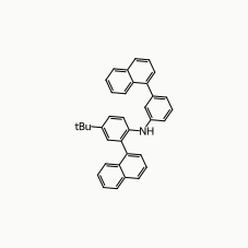 CC(C)(C)c1ccc(Nc2cccc(-c3cccc4ccccc34)c2)c(-c2cccc3ccccc23)c1